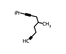 C#CCCC(C)CC#CC([CH2])C